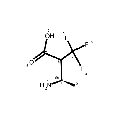 C[C@@H](N)C(C(=O)O)C(F)(F)F